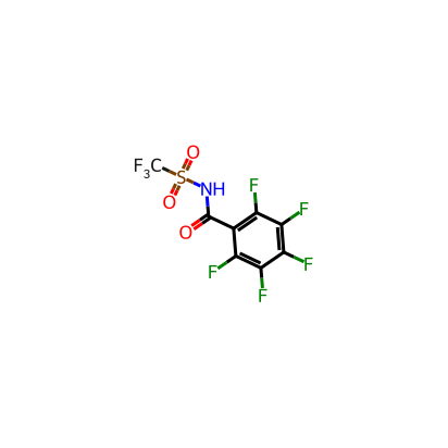 O=C(NS(=O)(=O)C(F)(F)F)c1c(F)c(F)c(F)c(F)c1F